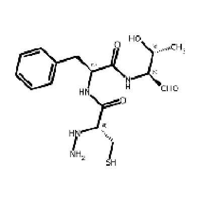 C[C@@H](O)[C@@H](C=O)NC(=O)[C@H](Cc1ccccc1)NC(=O)[C@H](CS)NN